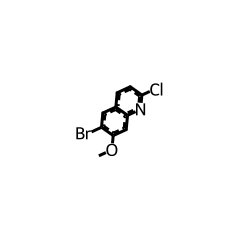 COc1cc2nc(Cl)ccc2cc1Br